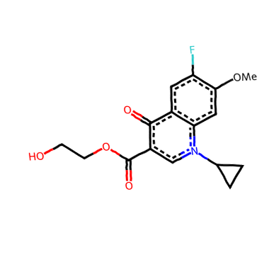 COc1cc2c(cc1F)c(=O)c(C(=O)OCCO)cn2C1CC1